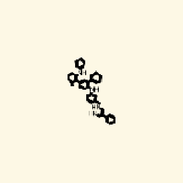 CC1CC=CC(Nc2ccccc2)=C1c1ccc(Nc2cccc(CN/C=C(\C=N)c3ccccc3)c2)c(-c2ccccc2)c1